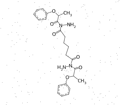 CC(Oc1ccccc1)C(=O)N(N)C(=O)CCCCC(=O)N(N)C(=O)C(C)Oc1ccccc1